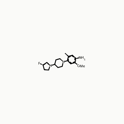 COc1cc(N2CCC(N3CC[C@@H](F)C3)CC2)c(C)cc1N